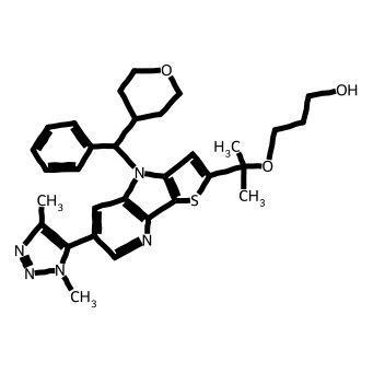 Cc1nnn(C)c1-c1cnc2c3sc(C(C)(C)OCCCO)cc3n(C(c3ccccc3)C3CCOCC3)c2c1